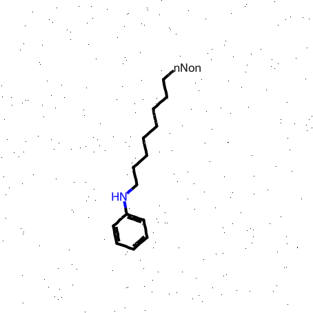 CCCCCCCCCCCCCCCCCNc1ccccc1